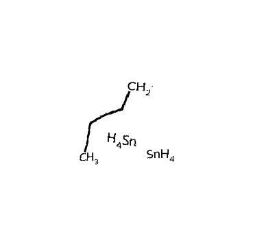 [CH2]CCC.[SnH4].[SnH4]